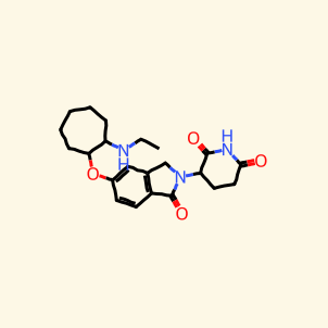 CCNC1CCCCCC1Oc1ccc2c(c1)CN(C1CCC(=O)NC1=O)C2=O